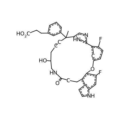 CC1(c2cccc(CCC(=O)O)c2)CCCC(O)CNC(=O)CCc2c(c(F)cc3[nH]ccc23)Oc2ccc(F)c(c2)-c2ncc1[nH]2